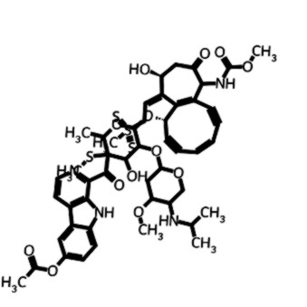 COC(=O)NC1C(=O)C[C@H](O)/C(=C/CS(C)(=S)=S)C2=C1C#C/C=C\C#C[C@@H]2OC1OC(C)C(SC)(C(=O)c2nccc3c2[nH]c2ccc(OC(C)=O)cc23)C(O)C1OC1CC(OC)C(NC(C)C)CO1